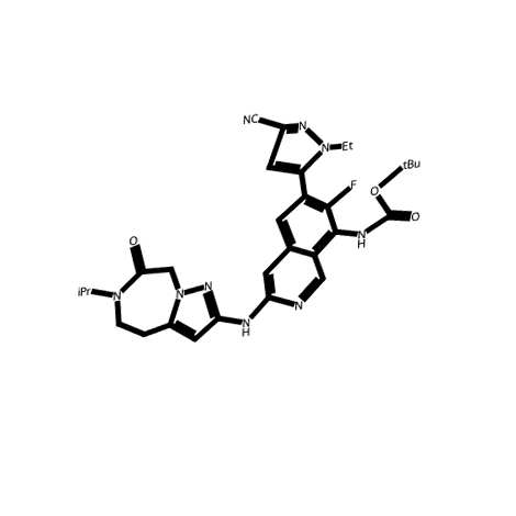 CCn1nc(C#N)cc1-c1cc2cc(Nc3cc4n(n3)CC(=O)N(C(C)C)CC4)ncc2c(NC(=O)OC(C)(C)C)c1F